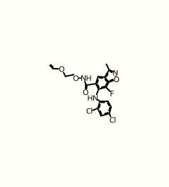 C=COCCONC(=O)c1cc2c(C)noc2c(F)c1Nc1ccc(Cl)cc1Cl